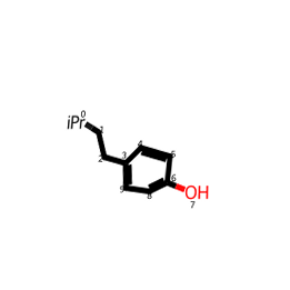 CC(C)CCc1ccc(O)cc1